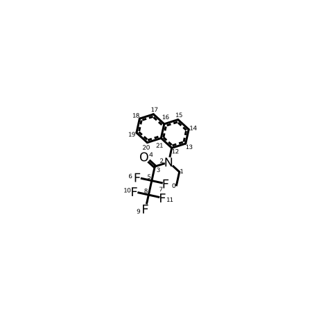 CCN(C(=O)C(F)(F)C(F)(F)F)c1cccc2ccccc12